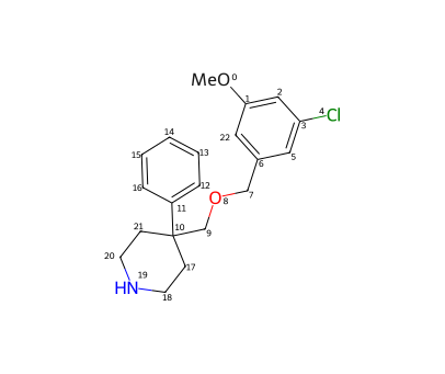 COc1cc(Cl)cc(COCC2(c3ccccc3)CCNCC2)c1